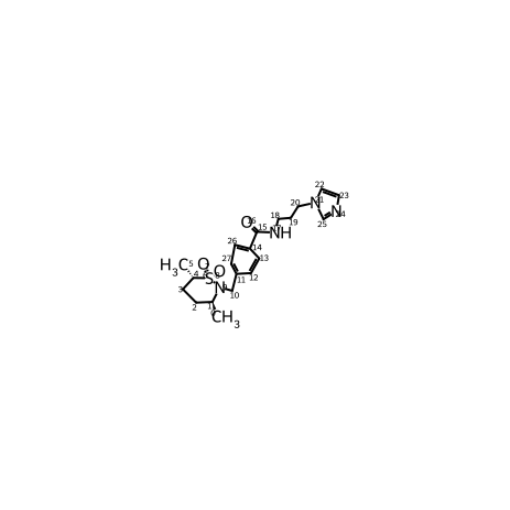 C[C@H]1CC[C@H](C)S(=O)(=O)N1Cc1ccc(C(=O)NCCCn2ccnc2)cc1